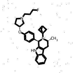 C[C@@H]1Cc2c([nH]c3ccccc23)[C@@H](c2ccc(O[C@@H]3CCN(CCCF)C3)cc2)N1C12CC(C1)C2